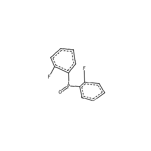 O=[P](c1ccccc1F)c1ccccc1F